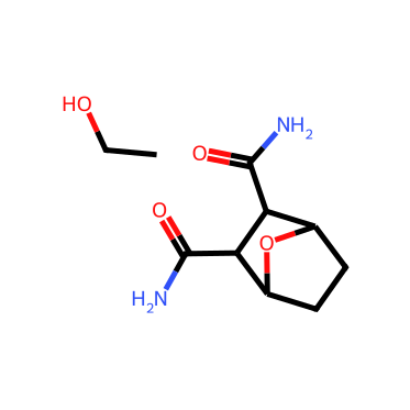 CCO.NC(=O)C1C2CCC(O2)C1C(N)=O